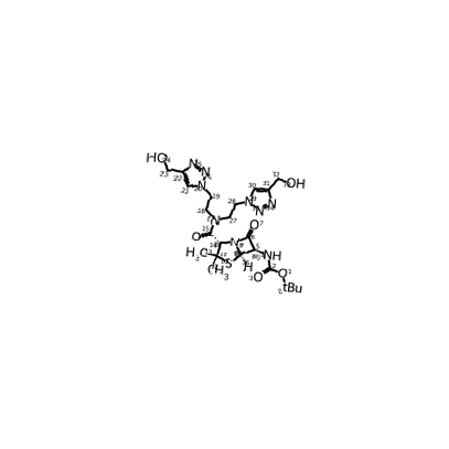 CC(C)(C)OC(=O)N[C@@H]1C(=O)N2[C@@H]1SC(C)(C)[C@@H]2C(=O)N(CCn1cc(CO)nn1)CCn1cc(CO)nn1